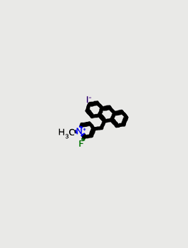 C[n+]1ccc(Cc2c3ccccc3cc3ccccc23)cc1F.[I-]